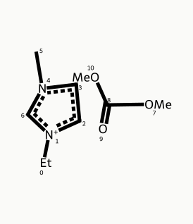 CC[n+]1ccn(C)c1.COC(=O)OC